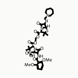 COc1cccc(OC)c1C(=O)NC1C(=O)N2[C@@H](C(=O)OCOC(=O)[C@@H]3N4C(=O)C(/N=C/N5CCCCCC5)[C@H]4SC3(C)C)C(C)(C)S(=O)(=O)[C@H]12